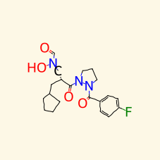 O=CN(O)C[C@@H](CC1CCCC1)C(=O)N1CCCN1C(=O)c1ccc(F)cc1